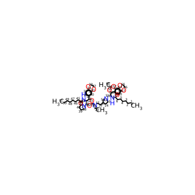 CCCCCCCC(=O)N[C@H](CN1CCC(CCN(CC)C(=O)O[C@H](c2ccc3c(c2)OCCO3)[C@@H](CN2CCCC2)NC(=O)CCCCCCC)C1)[C@H](OC(C)=O)c1ccc2c(c1)OCCO2